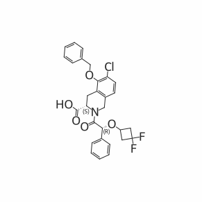 O=C(O)[C@@H]1Cc2c(ccc(Cl)c2OCc2ccccc2)CN1C(=O)[C@H](OC1CC(F)(F)C1)c1ccccc1